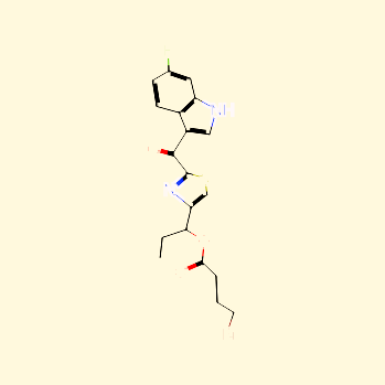 CCC(OC(=O)CCCBr)c1csc(C(=O)c2c[nH]c3cc(F)ccc23)n1